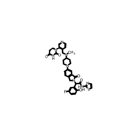 CN(Cc1ccncc1N1CCC(=O)NC1=O)C1CCN(c2ccc3c(c2)C(=O)N(C(C(=O)Nc2nccs2)c2cc(F)ccc2O)C3)CC1